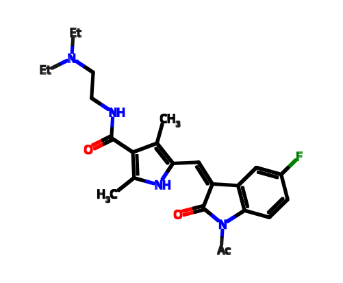 CCN(CC)CCNC(=O)c1c(C)[nH]c(/C=C2\C(=O)N(C(C)=O)c3ccc(F)cc32)c1C